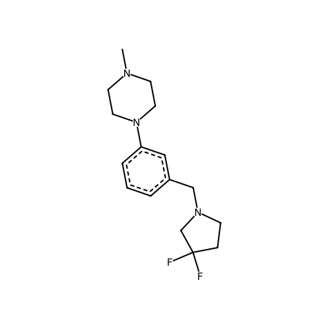 CN1CCN(c2cccc(CN3CCC(F)(F)C3)c2)CC1